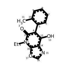 CCn1c(=O)c(-c2ccccc2C)c(O)c2ncoc21